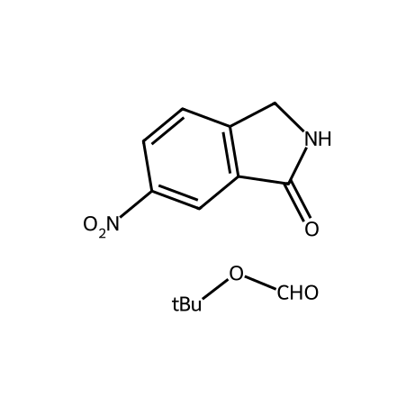 CC(C)(C)OC=O.O=C1NCc2ccc([N+](=O)[O-])cc21